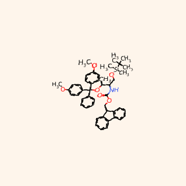 COc1ccc(C(OC(C)C(CO[Si](C)(C)C(C)(C)C)NC(=O)OCC2c3ccccc3-c3ccccc32)(c2ccccc2)c2ccc(OC)cc2)cc1